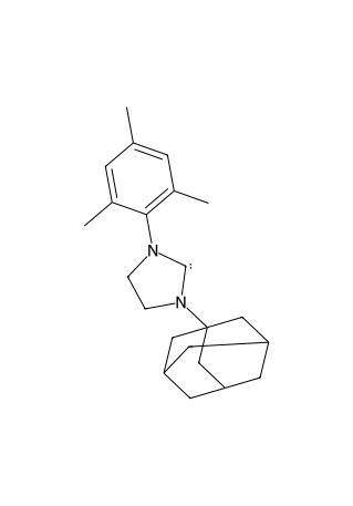 Cc1cc(C)c(N2[C]N(C34CC5CC(CC(C5)C3)C4)CC2)c(C)c1